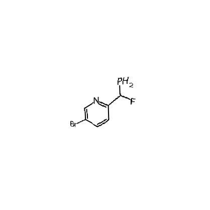 FC(P)c1ccc(Br)cn1